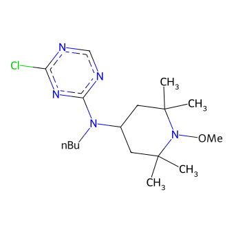 CCCCN(c1ncnc(Cl)n1)C1CC(C)(C)N(OC)C(C)(C)C1